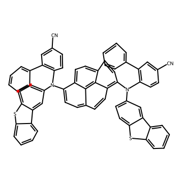 N#Cc1ccc(N(c2ccc3sc4ccccc4c3c2)c2ccc3ccc4c(N(c5ccc6sc7ccccc7c6c5)c5ccc(C#N)cc5-c5ccccc5)ccc5ccc2c3c54)c(-c2ccccc2)c1